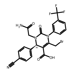 N#Cc1ccc([C@@H]2C(C(=O)O)=C(CBr)N(c3cccc(C(F)(F)F)c3)C(=O)N2CC(N)=O)cc1